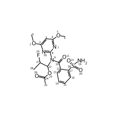 COc1cc(OC)nc(N(C(=O)c2ccccc2S(N)(=O)=O)C(OC(C)=O)C(C)F)n1